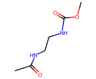 COC(=O)N[CH]CNC(C)=O